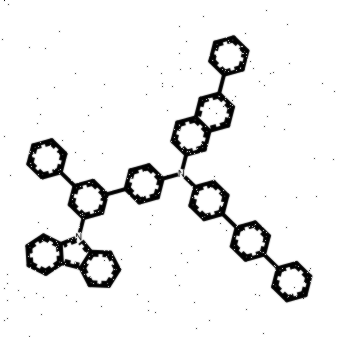 c1ccc(-c2ccc(-c3ccc(N(c4ccc(-c5cc(-c6ccccc6)cc(-n6c7ccccc7c7ccccc76)c5)cc4)c4ccc5cc(-c6ccccc6)ccc5c4)cc3)cc2)cc1